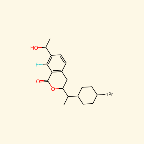 CCCC1CCC(C(C)C2Cc3ccc(C(C)O)c(F)c3C(=O)O2)CC1